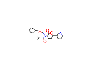 O=C(C1CC1)N(COCc1ccccc1)c1ccc(-c2cccnc2)oc1=O